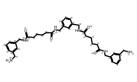 NCc1cccc(CNC(=O)CCCCC(=O)NCc2cccc(CNC(=O)CCCCC(=O)NCc3cccc(CN)c3)c2)c1